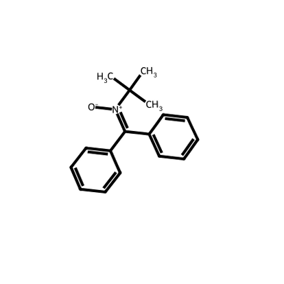 CC(C)(C)[N+]([O-])=C(c1ccccc1)c1ccccc1